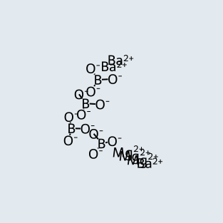 [Ba+2].[Ba+2].[Ba+2].[Mg+2].[Mg+2].[Mg+2].[O-]B([O-])[O-].[O-]B([O-])[O-].[O-]B([O-])[O-].[O-]B([O-])[O-]